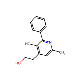 Cc1cc(CCO)c(C#N)c(-c2ccccc2)n1